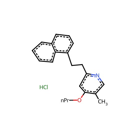 CCCOc1cc(CCc2cccc3ccccc23)ncc1C.Cl